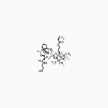 C=CC(=O)OC1CC2CCC1(C)C2(C)C.C=CC(=O)OCCC[Si](O[Si](C)(C)C)(O[Si](C)(C)C)O[Si](C)(C)C.OCCO